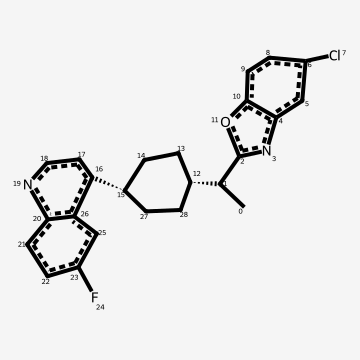 CC(c1nc2cc(Cl)ccc2o1)[C@H]1CC[C@@H](c2ccnc3ccc(F)cc32)CC1